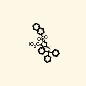 O=C(O)[C@@H]1C[C@@H](SC(c2ccccc2)(c2ccccc2)c2ccccc2)CN1S(=O)(=O)c1ccc2ccccc2c1